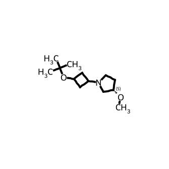 CO[C@H]1CCN(C2CC(OC(C)(C)C)C2)C1